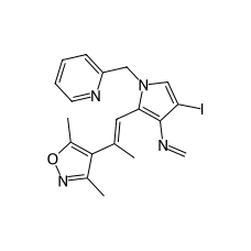 C=Nc1c(I)cn(Cc2ccccn2)c1/C=C(\C)c1c(C)noc1C